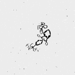 CCS(=O)(=O)Oc1cccc2c1C(=O)N(c1ccc(C(F)(C(F)(F)F)C(F)(F)F)cc1)C2=O